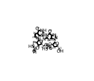 Nc1nc2c(nnn2[C@@H]2O[C@H](CO)C[C@H]2OP(=O)(S)OC[C@H]2O[C@@H](n3ccc4c(=O)[nH]cnc43)[C@@H](F)[C@@H]2O[PH](=O)S)c(=O)[nH]1